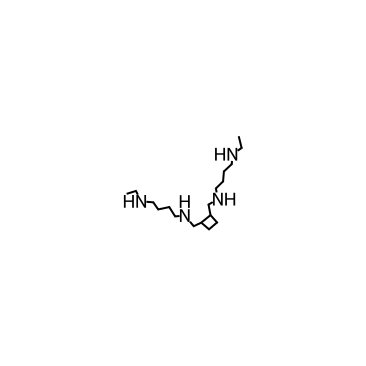 CCNCCCCNCC1CCC1CNCCCCNCC